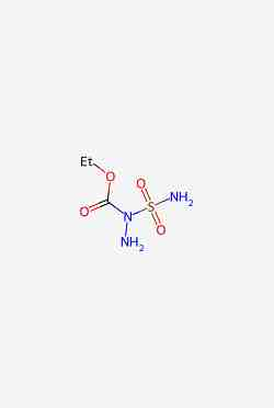 CCOC(=O)N(N)S(N)(=O)=O